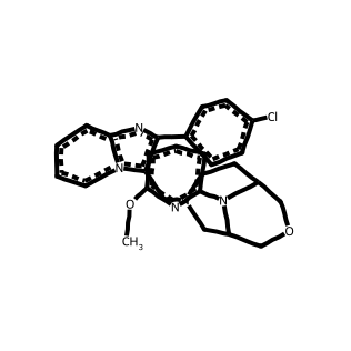 COc1cccc(N2C3CCN(Cc4c(-c5ccc(Cl)cc5)nc5ccccn45)CC2COC3)n1